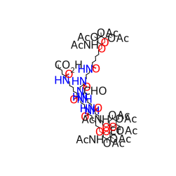 CCC1OC(OCCCCCC(=O)NCCCNC(=O)C(CCCCNC(=O)CCCC(=O)O)N(CC(=O)NCCCNC(=O)CCCCCOC2OC(COC(C)=O)C(OC(C)=O)C(OC(C)=O)C2NC(C)=O)C(C=O)NCCCNC(=O)CCCCCOC2OC(COC(C)=O)C(OC(C)=O)C(OC(C)=O)C2NC(C)=O)C(NC(C)=O)C(OC(C)=O)C1OC(C)=O